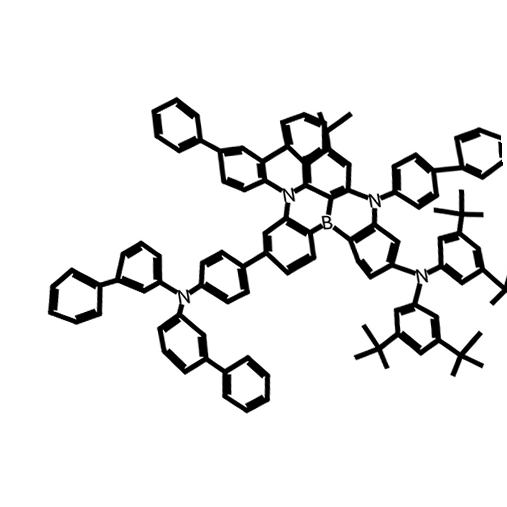 CC(C)c1cc2c3c(c1)N(c1ccc(-c4ccccc4)cc1-c1ccccc1)c1cc(-c4ccc(N(c5cccc(-c6ccccc6)c5)c5cccc(-c6ccccc6)c5)cc4)ccc1B3c1ccc(N(c3cc(C(C)(C)C)cc(C(C)(C)C)c3)c3cc(C(C)(C)C)cc(C(C)(C)C)c3)cc1N2c1ccc(-c2ccccc2)cc1